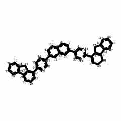 C1=C(c2ncc(-c3ccc4ccc(-c5ccc(-c6cccc7c6Cc6ccccc6-7)nc5)cc4c3)cn2)C2=C(CC1)c1ccccc1C2